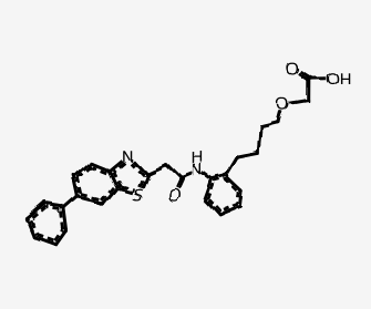 O=C(O)COCCCCc1ccccc1NC(=O)Cc1nc2ccc(-c3ccccc3)cc2s1